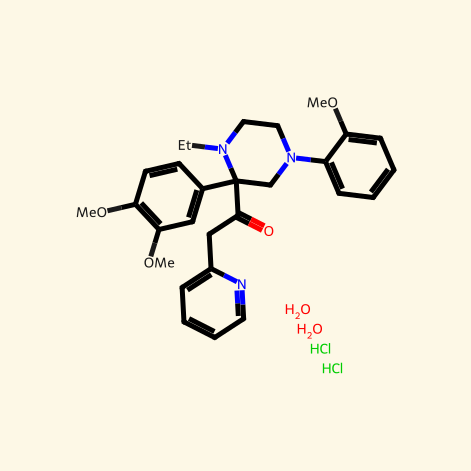 CCN1CCN(c2ccccc2OC)CC1(C(=O)Cc1ccccn1)c1ccc(OC)c(OC)c1.Cl.Cl.O.O